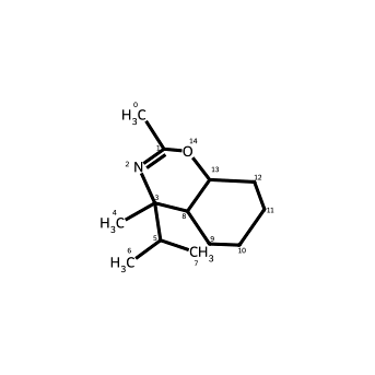 CC1=NC(C)(C(C)C)C2CCCCC2O1